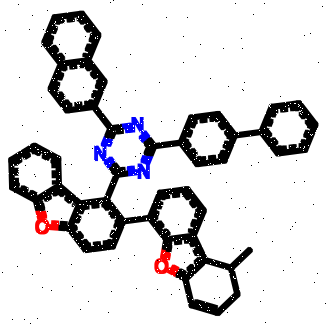 CC1CC=Cc2oc3c(-c4ccc5oc6ccccc6c5c4-c4nc(-c5ccc(-c6ccccc6)cc5)nc(-c5ccc6ccccc6c5)n4)cccc3c21